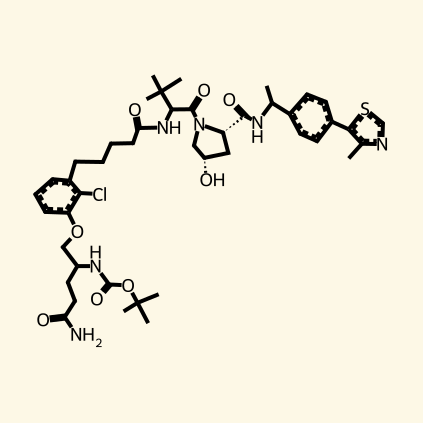 Cc1ncsc1-c1ccc(C(C)NC(=O)[C@@H]2C[C@H](O)CN2C(=O)C(NC(=O)CCCCc2cccc(OCC(CCC(N)=O)NC(=O)OC(C)(C)C)c2Cl)C(C)(C)C)cc1